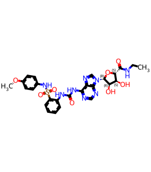 CCNC(=O)[C@H]1O[C@@H](n2cnc3c(NC(=O)Nc4ccccc4S(=O)(=O)Nc4ccc(OC)cc4)ncnc32)[C@H](O)[C@@H]1O